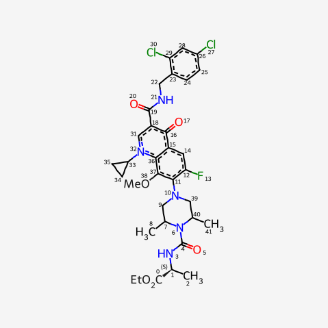 CCOC(=O)[C@H](C)NC(=O)N1C(C)CN(c2c(F)cc3c(=O)c(C(=O)NCc4ccc(Cl)cc4Cl)cn(C4CC4)c3c2OC)CC1C